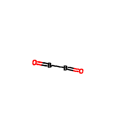 O=BB=O